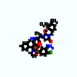 Cc1ccc(CN2C(=O)CN([C@H](C(=O)N[C@@H](Cc3ccccc3)[C@@H](O)CN(CC(C)C)S(=O)(=O)c3ccc(Cl)c(N)c3)C(C)C)C2=O)cc1[N+](=O)[O-]